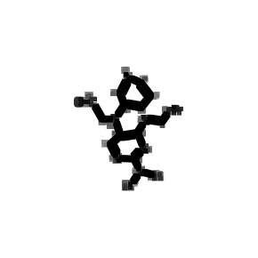 [CH2]CCC=Nc1nc(N(CC)CC)ncc1N(CC=O)c1cccnc1